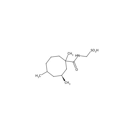 CC1CCCC(C)(C(=O)NCS(=O)(=O)O)C[C@@H](C)C1